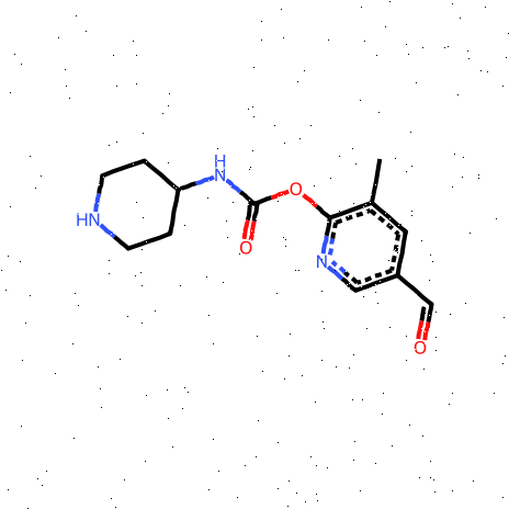 Cc1cc(C=O)cnc1OC(=O)NC1CCNCC1